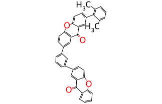 Cc1cccc(C)c1-c1ccc2oc3ccc(-c4cccc(-c5ccc6oc7ccccc7c(=O)c6c5)c4)cc3c(=O)c2c1